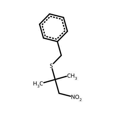 CC(C)(C[N+](=O)[O-])SCc1ccccc1